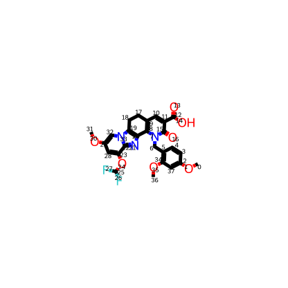 COc1ccc(Cn2c3c(cc(C(=O)O)c2=O)CCc2c-3nc3c(OC(F)F)cc(OC)cn23)c(OC)c1